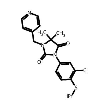 CC(C)Sc1ccc(N2C(=O)N(Cc3ccncc3)C(C)(C)C2=O)cc1Cl